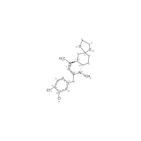 CN[C@H]1CC2(CC[C@@H]1N(C)C(=O)Cc1ccc(Cl)c(Cl)c1)OCCO2